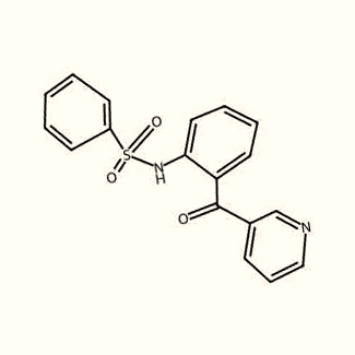 O=C(c1cccnc1)c1ccccc1NS(=O)(=O)c1ccccc1